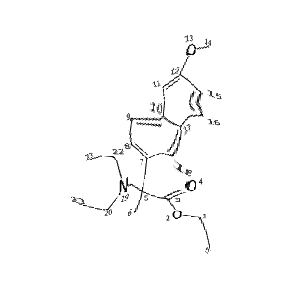 CCOC(=O)C(C)(c1ccc2cc(OC)ccc2c1)N(CC)CC